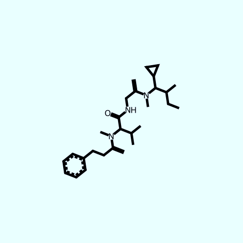 C=C(CCc1ccccc1)N(C)C(C(=O)NCC(=C)N(C)C(C(C)CC)C1CC1)C(C)C